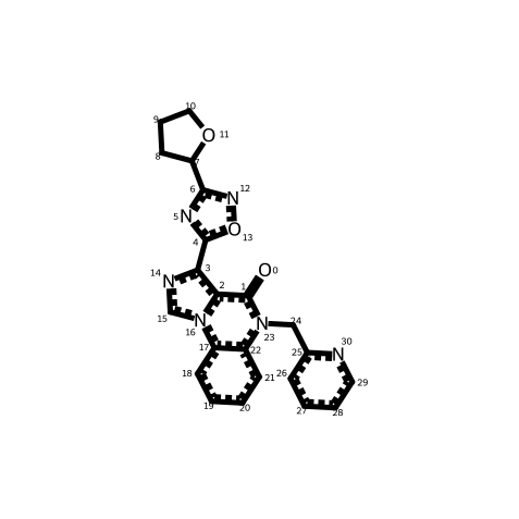 O=c1c2c(-c3nc(C4CCCO4)no3)ncn2c2ccccc2n1Cc1ccccn1